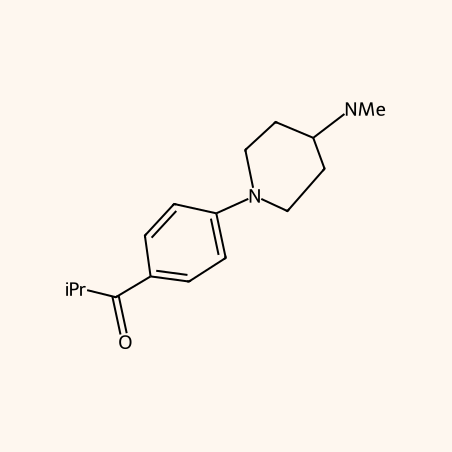 CNC1CCN(c2ccc(C(=O)C(C)C)cc2)CC1